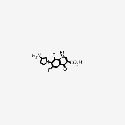 CCn1cc(C(=O)O)c(=O)c2cc(F)c(N3CCC(N)C3)c(F)c21